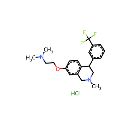 CN(C)CCOc1ccc2c(c1)CN(C)CC2c1cccc(C(F)(F)F)c1.Cl